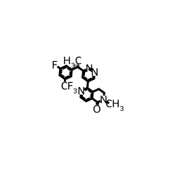 C[C@H](c1cc(F)cc(C(F)(F)F)c1)c1cc(-c2nccc3c2CCN(C)C3=O)cnn1